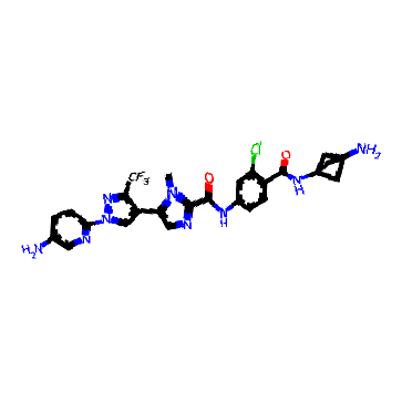 Cn1c(-c2cn(-c3ccc(N)cn3)nc2C(F)(F)F)cnc1C(=O)Nc1ccc(C(=O)NC23CC(N)(C2)C3)c(Cl)c1